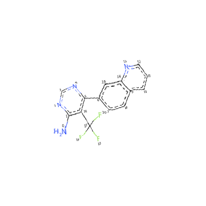 Nc1ncnc(-c2ccc3cccnc3c2)c1C(F)(F)F